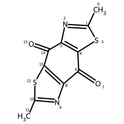 Cc1nc2c(s1)C(=O)c1nc(C)sc1C2=O